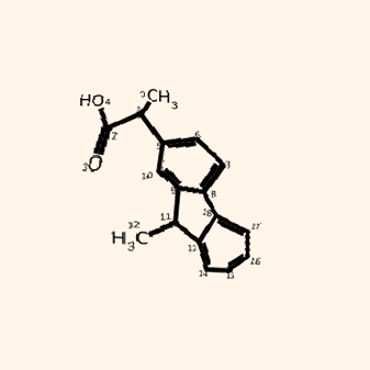 CC(C(=O)O)c1ccc2c(c1)C(C)c1ccccc1-2